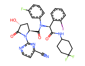 N#Cc1ccnc(N2C(=O)[C@H](O)C[C@H]2C(=O)N(c2cccc(F)c2)[C@H](C(=O)NC2CCC(F)(F)CC2)c2ccccc2I)n1